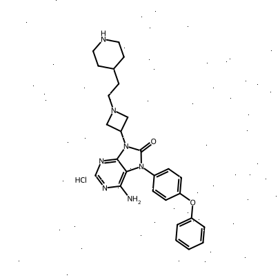 Cl.Nc1ncnc2c1n(-c1ccc(Oc3ccccc3)cc1)c(=O)n2C1CN(CCC2CCNCC2)C1